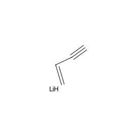 C#CC=C.[LiH]